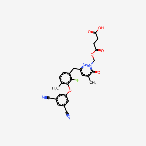 Cc1ccc(Cc2cc(C)c(=O)n(COC(=O)CCC(=O)O)n2)c(F)c1Oc1cc(C#N)cc(C#N)c1